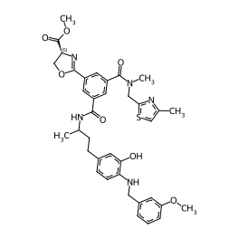 COC(=O)[C@@H]1COC(c2cc(C(=O)NC(C)CCc3ccc(NCc4cccc(OC)c4)c(O)c3)cc(C(=O)N(C)Cc3nc(C)cs3)c2)=N1